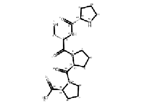 O=C(N[C@@H](CS)C(=O)N1CCC[C@H]1C(=O)N1CCC[C@H]1C(=O)O)[C@@H]1CCCN1